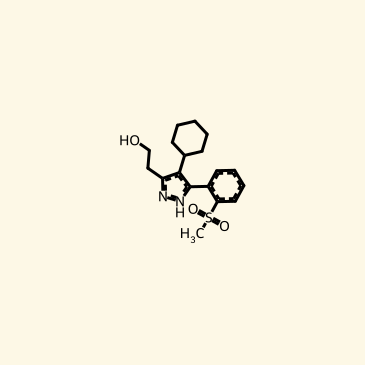 CS(=O)(=O)c1ccccc1-c1[nH]nc(CCO)c1C1CCCCC1